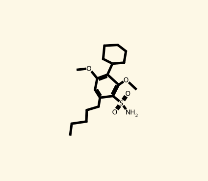 CCCCCc1cc(OC)c(C2CCCCC2)c(OC)c1S(N)(=O)=O